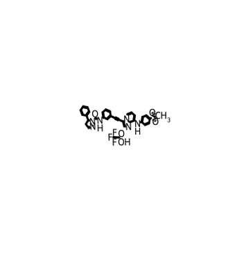 CS(=O)(=O)c1ccc(Nc2cccn3c(C#Cc4cccc(NC(=O)N5N=CCC5c5ccccc5)c4)cnc23)cc1.O=C(O)C(F)(F)F